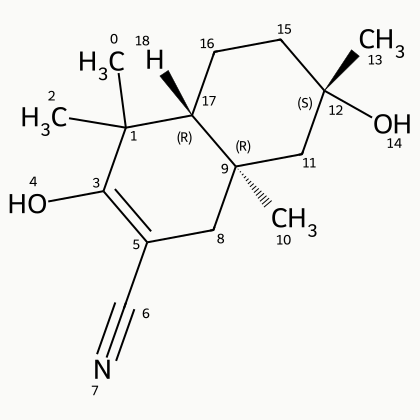 CC1(C)C(O)=C(C#N)C[C@]2(C)C[C@@](C)(O)CC[C@@H]12